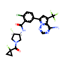 Nc1ncnn2c(-c3ccc(Cl)c(C(=O)N[C@@H]4CN(C(=O)C5(F)CC5)C[C@@H]4F)c3)cc(C(F)(F)F)c12